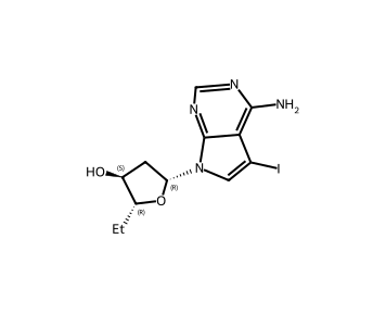 CC[C@H]1O[C@@H](n2cc(I)c3c(N)ncnc32)C[C@@H]1O